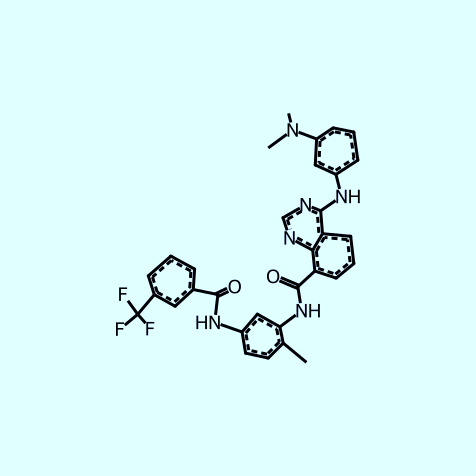 Cc1ccc(NC(=O)c2cccc(C(F)(F)F)c2)cc1NC(=O)c1cccc2c(Nc3cccc(N(C)C)c3)ncnc12